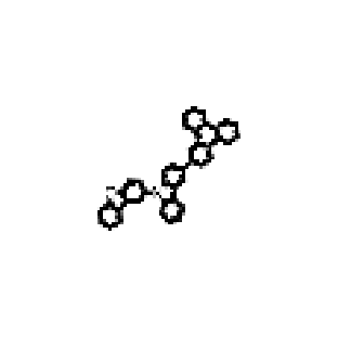 c1ccc2c(c1)oc1ccc(-n3c4ccccc4c4cc(-c5ccc6c7ccccc7c7ccccc7c6c5)ccc43)cc12